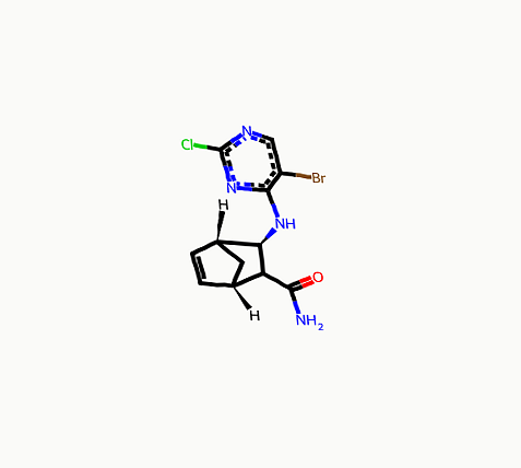 NC(=O)C1[C@@H]2C=C[C@@H](C2)[C@H]1Nc1nc(Cl)ncc1Br